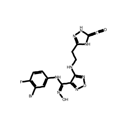 O=C=C1NN=C(CCNc2nonc2C(=NO)Nc2ccc(F)c(Br)c2)N1